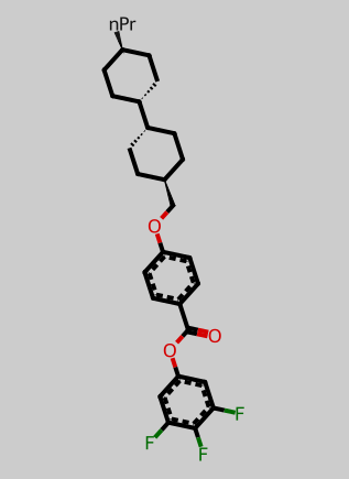 CCC[C@H]1CC[C@H]([C@H]2CC[C@H](COc3ccc(C(=O)Oc4cc(F)c(F)c(F)c4)cc3)CC2)CC1